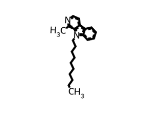 CCCCCCCCCCn1c2ccccc2c2ccnc(C)c21